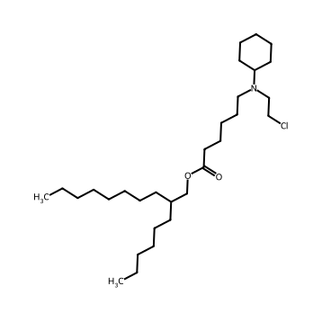 CCCCCCCCC(CCCCCC)COC(=O)CCCCCN(CCCl)C1CCCCC1